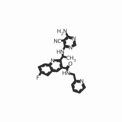 CC(Nc1ncnc(N)c1C#N)c1nc2ccc(F)cc2cc1C(=O)NCc1ccccn1